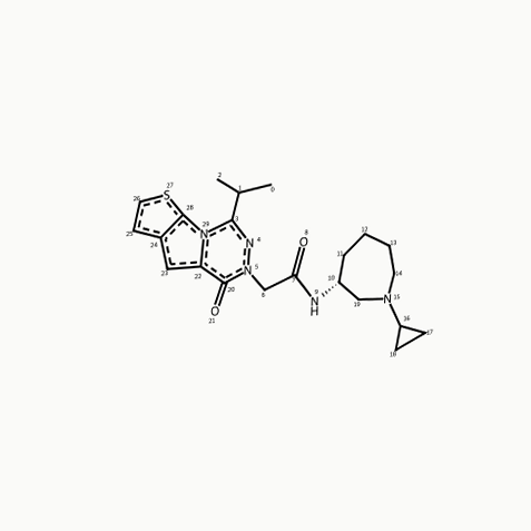 CC(C)c1nn(CC(=O)N[C@@H]2CCCCN(C3CC3)C2)c(=O)c2cc3ccsc3n12